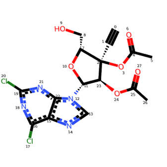 C#C[C@@]1(OC(C)=O)[C@@H](CO)O[C@@H](n2cnc3c(Cl)nc(Cl)nc32)[C@@H]1OC(C)=O